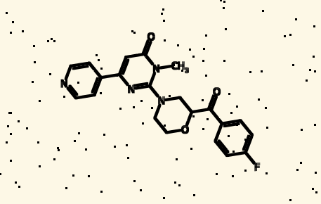 Cn1c(N2CCOC(C(=O)c3ccc(F)cc3)C2)nc(-c2ccncc2)cc1=O